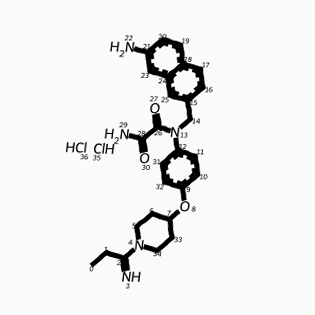 CCC(=N)N1CCC(Oc2ccc(N(Cc3ccc4ccc(N)cc4c3)C(=O)C(N)=O)cc2)CC1.Cl.Cl